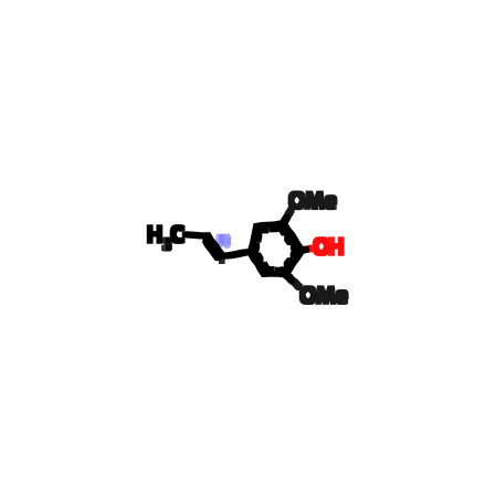 C/C=[C]/c1cc(OC)c(O)c(OC)c1